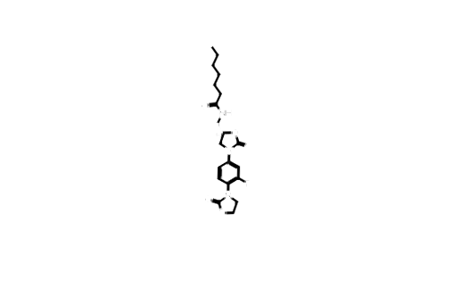 CCCCCCC(=O)NC[C@H]1CN(c2ccc(N3CCOC3=O)c(F)c2)C(=O)O1